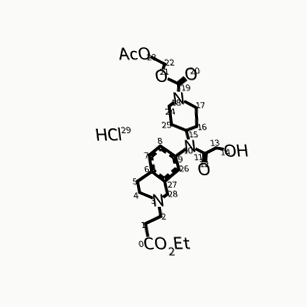 CCOC(=O)CCN1CCc2ccc(N(C(=O)CO)C3CCN(C(=O)OCOC(C)=O)CC3)cc2C1.Cl